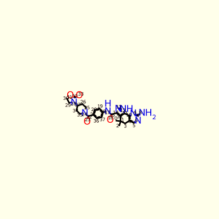 CC1(C)Cc2cnc(N)nc2-c2[nH]nc(C(=O)Nc3ccc(C(=O)N4CCC(N5CCOC5=O)CC4)cc3)c21